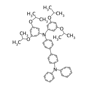 CC(C)Oc1cc(OC(C)C)cc(N(c2ccc(-c3ccc(N(c4ccccc4)c4ccccc4)cc3)cc2)c2cc(OC(C)C)cc(OC(C)C)c2)c1